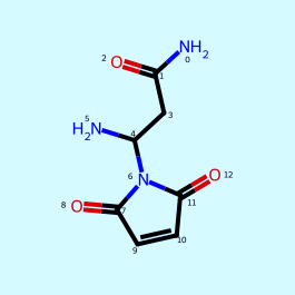 NC(=O)CC(N)N1C(=O)C=CC1=O